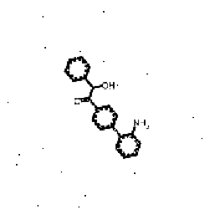 Nc1ccccc1-c1ccc(C(=O)C(O)c2ccccc2)cc1